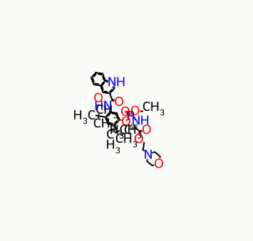 CCO[P@](=O)(N[C@@H](C)C(=O)OCCN1CCOCC1)Oc1cc(NC(=O)c2c[nH]c3ccccc3c2=O)c(C(C)(C)C)cc1C(C)(C)C